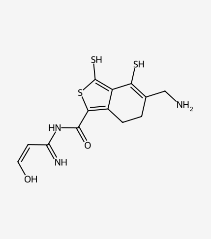 N=C(/C=C\O)NC(=O)c1sc(S)c2c1CCC(CN)=C2S